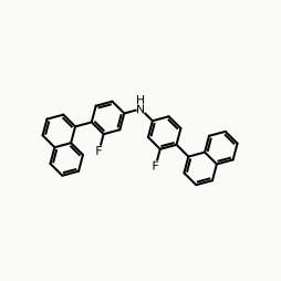 Fc1cc(Nc2ccc(-c3cccc4ccccc34)c(F)c2)ccc1-c1cccc2ccccc12